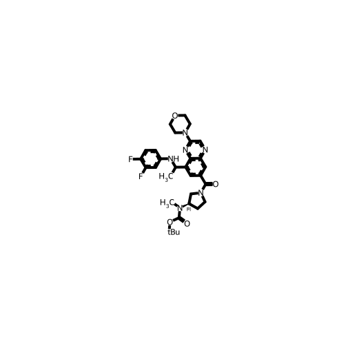 CC(Nc1ccc(F)c(F)c1)c1cc(C(=O)N2CC[C@@H](N(C)C(=O)OC(C)(C)C)C2)cc2ncc(N3CCOCC3)nc12